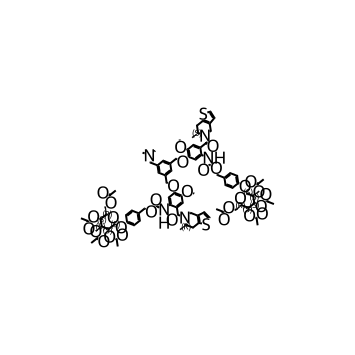 COc1cc(C(=O)N2Cc3ccsc3C[C@H]2C)c(NC(=O)OCc2ccc(O[C@@H]3O[C@H](COC(C)=O)[C@H](OC(C)=O)[C@H](OC(C)=O)[C@@H]3OC(C)=O)cc2)cc1OCc1cc(COc2cc(NC(=O)OCc3ccc(O[C@@H]4O[C@H](COC(C)=O)[C@H](OC(C)=O)[C@H](OC(C)=O)[C@@H]4OC(C)=O)cc3)c(C(=O)N3Cc4ccsc4C[C@@H]3C)cc2OC)cc(CN(C)C)c1